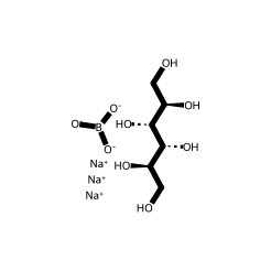 OC[C@@H](O)[C@@H](O)[C@H](O)[C@H](O)CO.[Na+].[Na+].[Na+].[O-]B([O-])[O-]